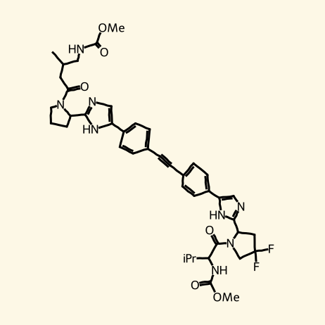 COC(=O)NCC(C)CC(=O)N1CCCC1c1ncc(-c2ccc(C#Cc3ccc(-c4cnc(C5CC(F)(F)CN5C(=O)C(NC(=O)OC)C(C)C)[nH]4)cc3)cc2)[nH]1